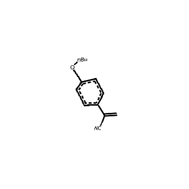 C=C(C#N)c1ccc(OCCCC)cc1